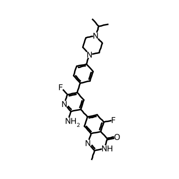 Cc1nc2cc(-c3cc(-c4ccc(N5CCN(C(C)C)CC5)cc4)c(F)nc3N)cc(F)c2c(=O)[nH]1